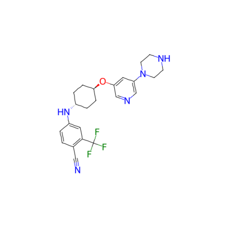 N#Cc1ccc(N[C@H]2CC[C@H](Oc3cncc(N4CCNCC4)c3)CC2)cc1C(F)(F)F